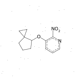 O=[N+]([O-])c1ncccc1OC1CCCC12CC2